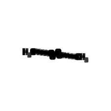 CCCCCCCCCCCOC(=O)CCC(=O)OCCCCCCCCCCC